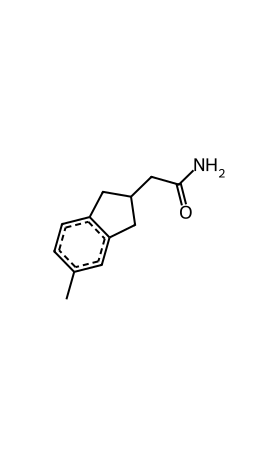 Cc1ccc2c(c1)CC(CC(N)=O)C2